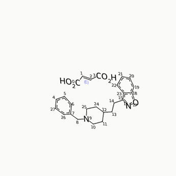 O=C(O)/C=C/C(=O)O.c1ccc(CN2CCC(CCc3noc4ccccc34)CC2)cc1